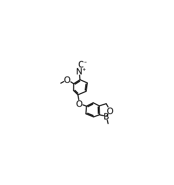 [C-]#[N+]c1ccc(Oc2ccc3c(c2)COB3C)cc1OC